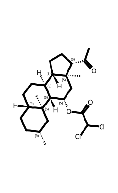 CC(=O)[C@H]1CC[C@H]2[C@@H]3CC[C@H]4CC[C@@H](C)C[C@]4(C)[C@H]3[C@@H](OC(=O)C(Cl)Cl)C[C@]12C